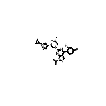 CC(C)n1ncc2c(-c3ccc(F)cc3F)nc(N3C[C@@H](C)O[C@@H](c4cnn(C5CC5)c4)C3)nc21